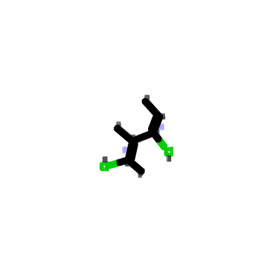 C/C=C(Cl)\C(C)=C(/C)Cl